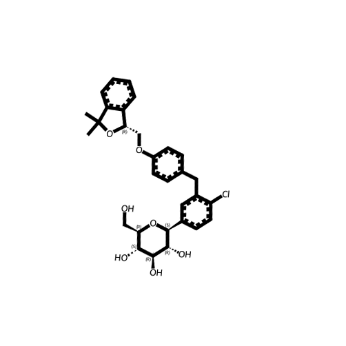 CC1(C)O[C@@H](COc2ccc(Cc3cc([C@@H]4O[C@H](CO)[C@@H](O)[C@H](O)[C@H]4O)ccc3Cl)cc2)c2ccccc21